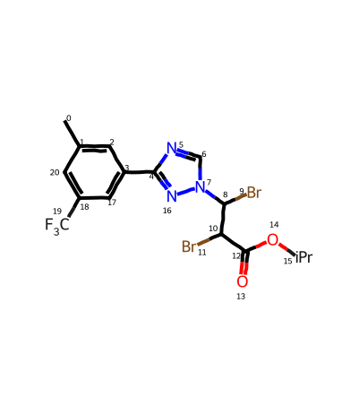 Cc1cc(-c2ncn(C(Br)C(Br)C(=O)OC(C)C)n2)cc(C(F)(F)F)c1